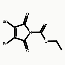 CCOC(=O)N1C(=O)C(Br)=C(Br)C1=O